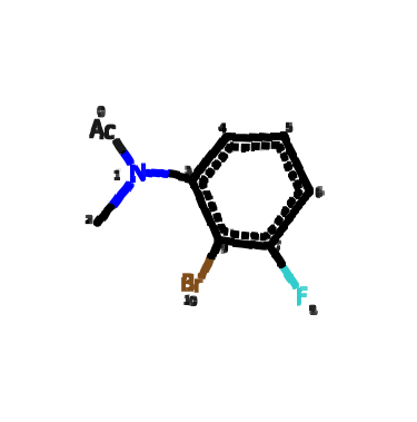 CC(=O)N(C)c1cccc(F)c1Br